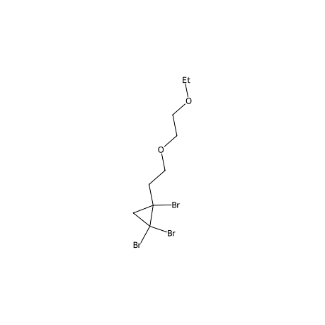 CCOCCOCCC1(Br)CC1(Br)Br